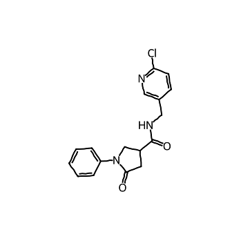 O=C(NCc1ccc(Cl)nc1)C1CC(=O)N(c2ccccc2)C1